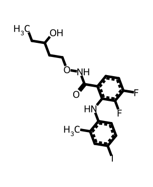 CCC(O)CCONC(=O)c1ccc(F)c(F)c1Nc1ccc(I)cc1C